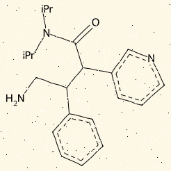 CC(C)N(C(=O)C(c1cccnc1)C(CN)c1ccccc1)C(C)C